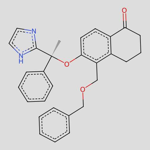 C[C@](Oc1ccc2c(c1COCc1ccccc1)CCCC2=O)(c1ccccc1)c1ncc[nH]1